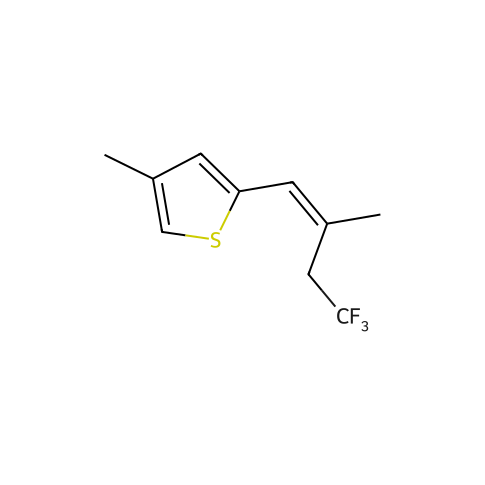 CC(=Cc1cc(C)cs1)CC(F)(F)F